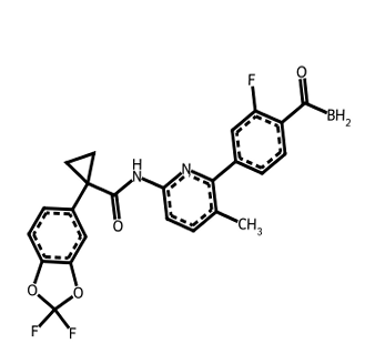 BC(=O)c1ccc(-c2nc(NC(=O)C3(c4ccc5c(c4)OC(F)(F)O5)CC3)ccc2C)cc1F